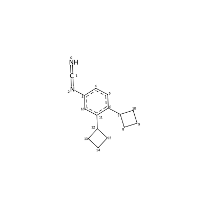 N=C=Nc1ccc(C2CCC2)c(C2CCC2)c1